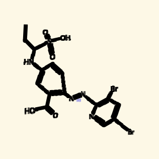 CCC(Nc1ccc(/N=N/c2ncc(Br)cc2Br)c(C(=O)O)c1)S(=O)(=O)O